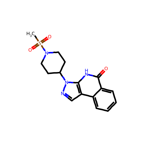 CS(=O)(=O)N1CCC(n2ncc3c4ccccc4c(=O)[nH]c32)CC1